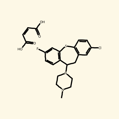 CN1CCN(C2Cc3cc(Cl)ccc3Sc3cc(F)ccc32)CC1.O=C(O)/C=C\C(=O)O